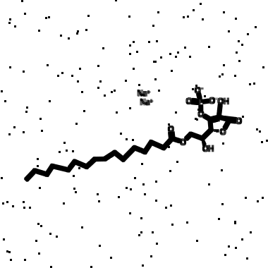 CCCCCCCCCCCCCCCC(=O)OC[C@H](O)[C@H]1OC(=O)C(O)=C1OP(=O)([O-])[O-].[Na+].[Na+]